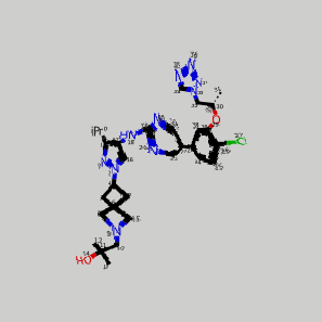 CC(C)c1nn(C2CC3(C2)CN(CC(C)(C)O)C3)cc1Nc1ncc(-c2ccc(Cl)c(O[C@@H](C)Cn3cnnn3)c2)cn1